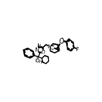 O[C@](c1ccccc1)(c1nnc(C[N+]23CCC(CC2)C(Oc2ccc(F)cc2)C3)o1)C1CCCCC1